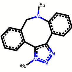 CCC(C)N1Cc2ccccc2-c2c(nnn2C(C)CC)-c2ccccc21